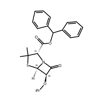 CC(C)O[C@@H]1C(=O)N2[C@@H]1SC(C)(C)[C@@H]2C(=O)OC(c1ccccc1)c1ccccc1